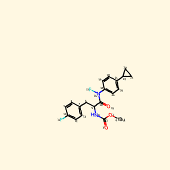 CC(C)(C)OC(=O)NC(Cc1ccc(F)cc1)C(=O)N(F)c1ccc(C2CC2)cc1